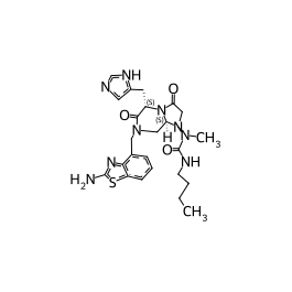 CCCCNC(=O)N(C)N1CC(=O)N2[C@@H](Cc3cnc[nH]3)C(=O)N(Cc3cccc4sc(N)nc34)C[C@@H]21